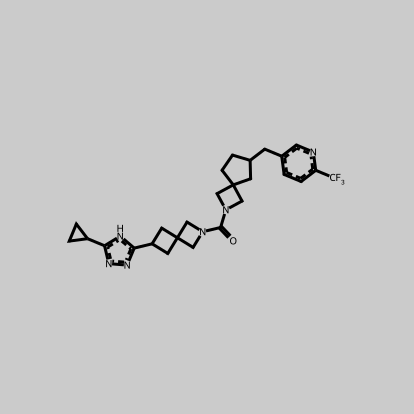 O=C(N1CC2(CCC(Cc3ccc(C(F)(F)F)nc3)C2)C1)N1CC2(CC(c3nnc(C4CC4)[nH]3)C2)C1